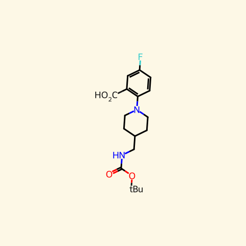 CC(C)(C)OC(=O)NCC1CCN(c2ccc(F)cc2C(=O)O)CC1